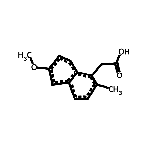 COc1ccc2c(CC(=O)O)c(C)ccc2c1